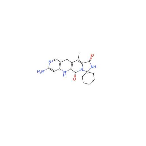 Cc1c2c(c(=O)n3c1C(=O)NC31CCCCC1)Nc1cc(N)ncc1C2